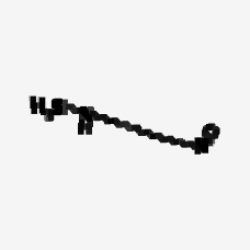 C[N+](C)(CCCCCCCCCCCCCCCCCCCCNCCC[SiH3])Cc1ccccc1